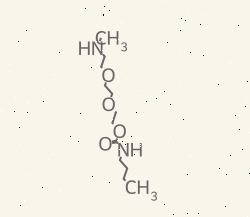 CCCCNC(=O)OCCOCCOCCNC